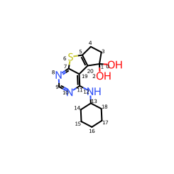 OC1(O)CCc2sc3ncnc(NC4CCCCC4)c3c21